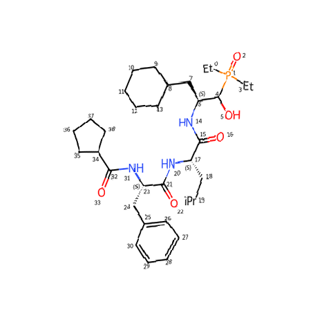 CCP(=O)(CC)C(O)[C@H](CC1CCCCC1)NC(=O)[C@H](CC(C)C)NC(=O)[C@H](Cc1ccccc1)NC(=O)C1CCCC1